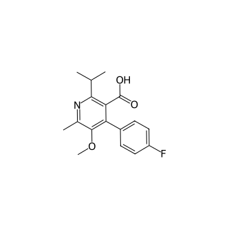 COc1c(C)nc(C(C)C)c(C(=O)O)c1-c1ccc(F)cc1